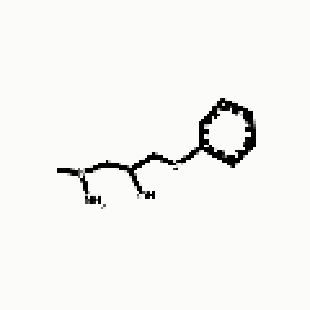 CN(N)CC(O)CSc1ccccc1